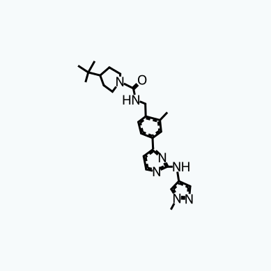 Cc1cc(-c2ccnc(Nc3cnn(C)c3)n2)ccc1CNC(=O)N1CCC(C(C)(C)C)CC1